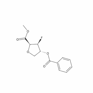 COC(=O)[C@@H]1OC[C@@H](OC(=O)c2ccccc2)[C@@H]1F